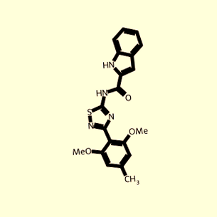 COc1cc(C)cc(OC)c1-c1nsc(NC(=O)c2cc3ccccc3[nH]2)n1